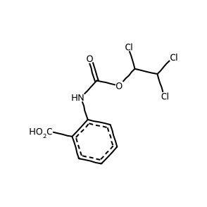 O=C(Nc1ccccc1C(=O)O)OC(Cl)C(Cl)Cl